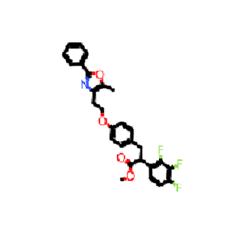 COC(=O)C(Cc1ccc(OCCc2nc(-c3ccccc3)oc2C)cc1)c1ccc(F)c(F)c1F